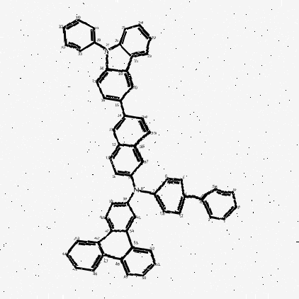 c1ccc(-c2ccc(N(c3ccc4cc(-c5ccc6c(c5)c5ccccc5n6-c5ccccc5)ccc4c3)c3ccc4c5ccccc5c5ccccc5c4c3)cc2)cc1